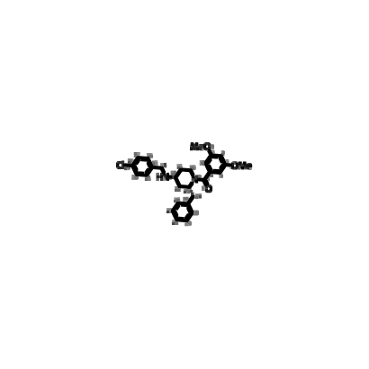 COc1cc(OC)cc(C(=O)N2CC[C@H](NCc3ccc(Cl)cc3)C[C@H]2Cc2ccccc2)c1